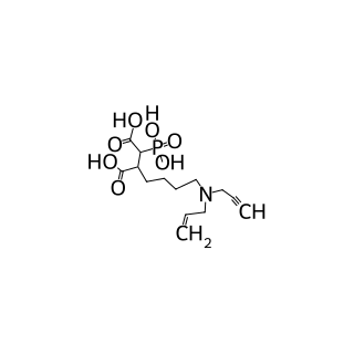 C#CCN(CC=C)CCCCC(C(=O)O)C(C(=O)O)P(=O)(O)O